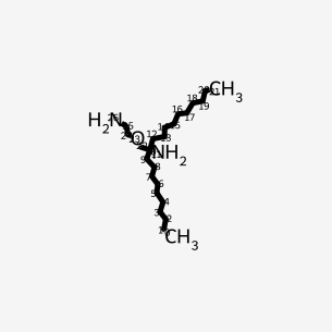 CCCCCCCCCCC(N)(CCCCCCCCCC)COCCN